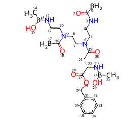 BC(=O)NCCN(CCN(CCNB(C)O)C(B)=O)C(=O)C[C@H](NB(C)O)C(=O)OCc1ccccc1